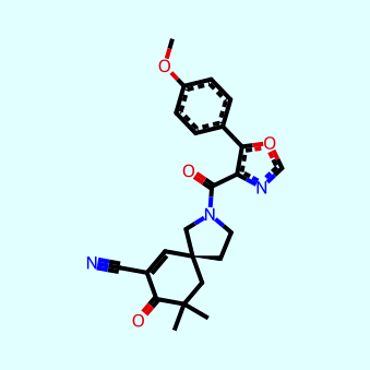 COc1ccc(-c2ocnc2C(=O)N2CC[C@@]3(C=C(C#N)C(=O)C(C)(C)C3)C2)cc1